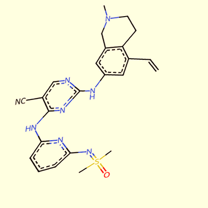 C=Cc1cc(Nc2ncc(C#N)c(Nc3cccc(N=S(C)(C)=O)n3)n2)cc2c1CCN(C)C2